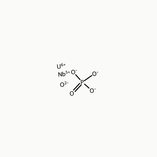 O=P([O-])([O-])[O-].[Nb+5].[O-2].[U+6]